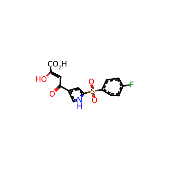 O=C(O)C(O)=CC(=O)c1c[nH]c(S(=O)(=O)c2ccc(F)cc2)c1